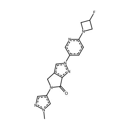 Cn1cc(N2Cc3cn(-c4ccc(N5CC(F)C5)nc4)nc3C2=O)cn1